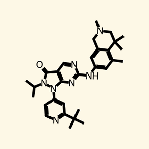 Cc1cc(Nc2ncc3c(=O)n(C(C)C)n(-c4ccnc(C(C)(C)C)c4)c3n2)cc2c1C(C)(C)CN(C)C2